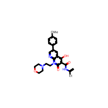 C=C(CC)NC(=O)c1c(O)c2cc(-c3ccc(OC)cc3)cnc2n(CCN2CCOCC2)c1=O